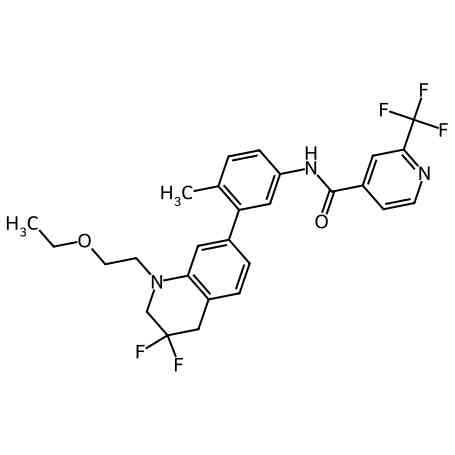 CCOCCN1CC(F)(F)Cc2ccc(-c3cc(NC(=O)c4ccnc(C(F)(F)F)c4)ccc3C)cc21